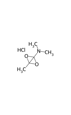 CN(C)C12OC1(C)O2.Cl